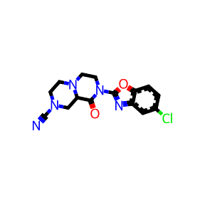 N#CN1CCN2CCN(c3nc4cc(Cl)ccc4o3)C(=O)C2C1